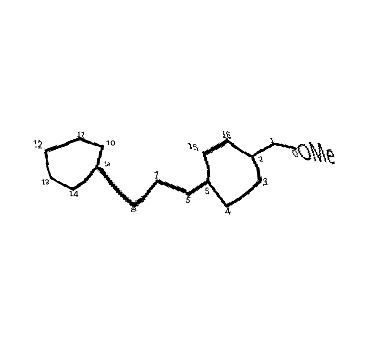 COCC1CCC(CCCC2CCCCC2)CC1